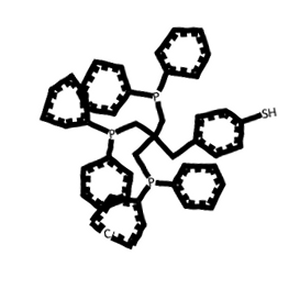 Sc1ccc(CC(CP(c2ccccc2)c2ccccc2)(CP(c2ccccc2)c2ccccc2)CP(c2ccccc2)c2ccccc2)cc1